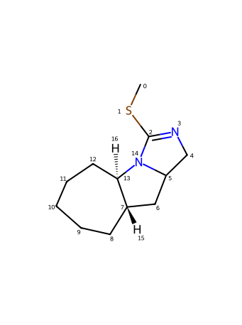 CSC1=NCC2C[C@@H]3CCCCC[C@H]3N12